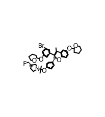 CC1=C(c2cc(Br)cc(OC3CCCCO3)c2)[C@H](c2ccc(OC(C)(C)N3CC[C@@H](CF)C3)cc2)Oc2ccc(OC3CCCCO3)cc21